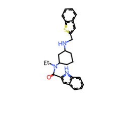 CCN(C(=O)c1cc2ccccc2[nH]1)C1CCCC(NCc2cc3ccccc3s2)C1